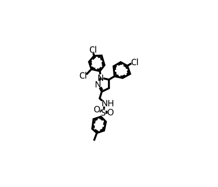 Cc1ccc(S(=O)(=O)NCC2=NN(c3ccc(Cl)cc3Cl)C(c3ccc(Cl)cc3)C2)cc1